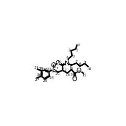 CCCCCN(CCCCC)C(=O)C(CCC(=O)OC)C[S+]([O-])c1ccc(C)c(C)c1